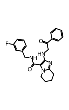 O=C(CNc1nc2n(c1C(=O)NCc1cccc(F)c1)CCCC2)c1ccccc1